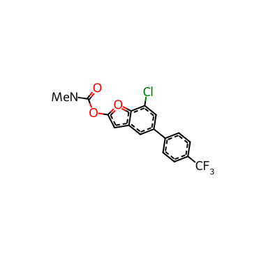 CNC(=O)Oc1cc2cc(-c3ccc(C(F)(F)F)cc3)cc(Cl)c2o1